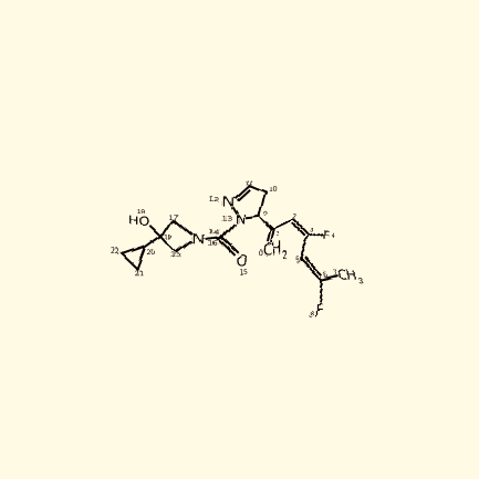 C=C(/C=C(F)\C=C(/C)F)[C@@H]1CC=NN1C(=O)N1CC(O)(C2CC2)C1